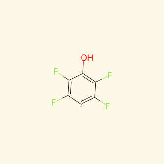 Oc1c(F)c(F)[c]c(F)c1F